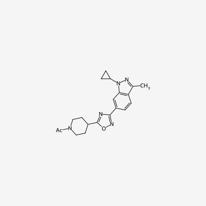 CC(=O)N1CCC(c2nc(-c3ccc4c(C)nn(C5CC5)c4c3)no2)CC1